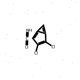 Clc1cc2cc-2c1Cl.N=C=O